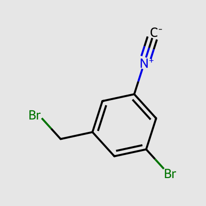 [C-]#[N+]c1cc(Br)cc(CBr)c1